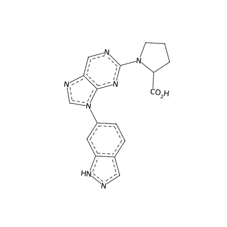 O=C(O)C1CCCN1c1ncc2ncn(-c3ccc4cn[nH]c4c3)c2n1